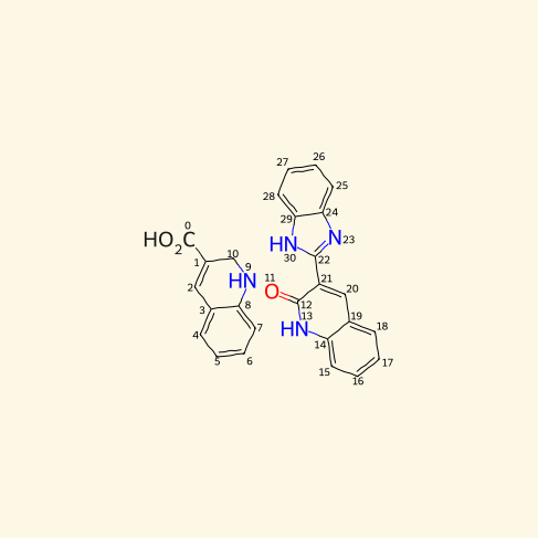 O=C(O)C1=Cc2ccccc2NC1.O=c1[nH]c2ccccc2cc1-c1nc2ccccc2[nH]1